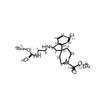 CC(C)(C)OC(=O)NCCNC1CC2(CCN(C(=O)OC(C)(C)C)CC2)c2cc(Cl)ccc21